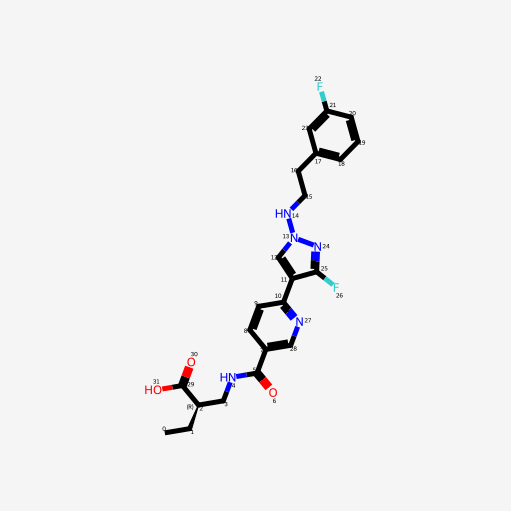 CC[C@H](CNC(=O)c1ccc(-c2cn(NCCc3cccc(F)c3)nc2F)nc1)C(=O)O